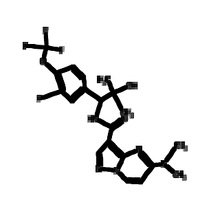 CN(C)c1ccn2ncc(C(=O)NC(c3ccc(OC(F)(F)F)c(F)c3)C(C)(C)O)c2n1